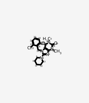 Cn1c(=O)c2c(nc(N3CCCCC3)n2Cc2c(Cl)cccc2Cl)n(C)c1=O